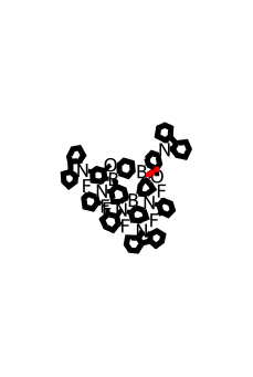 Fc1cccc(F)c1N1c2cc3c(cc2B2c4ccccc4Oc4cc(-n5c6ccccc6c6ccccc65)cc1c42)B1c2cc4c(cc2N(c2c(F)cccc2F)c2cc(-n5c6ccccc6c6ccccc65)cc(c21)N3c1c(F)cccc1F)Oc1cc(-n2c3ccccc3c3ccccc32)cc2c1B4c1ccccc1O2